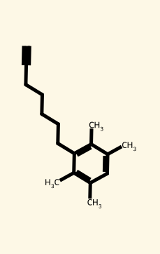 [C]#CCCCCCc1c(C)c(C)cc(C)c1C